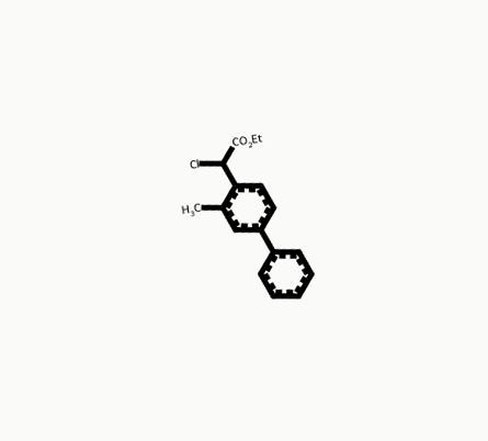 CCOC(=O)C(Cl)c1ccc(-c2ccccc2)cc1C